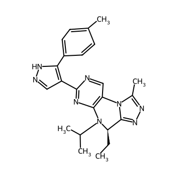 CC[C@@H]1c2nnc(C)n2-c2cnc(-c3cn[nH]c3-c3ccc(C)cc3)nc2N1C(C)C